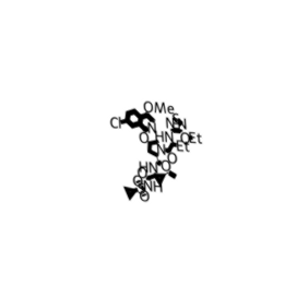 C=C[C@@H]1C[C@]1(NC(=O)[C@@H]1C[C@@H](Oc2ncc(OC)c3ccc(Cl)cc23)CN1C(=O)C(CC)Nc1nsnc1OCC)C(=O)NS(=O)(=O)C1CC1